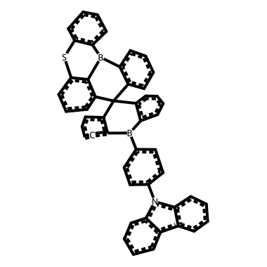 c1ccc2c(c1)Sc1cccc3c1B2c1ccccc1C31c2ccccc2B(c2ccc(-n3c4ccccc4c4ccccc43)cc2)c2ccccc21